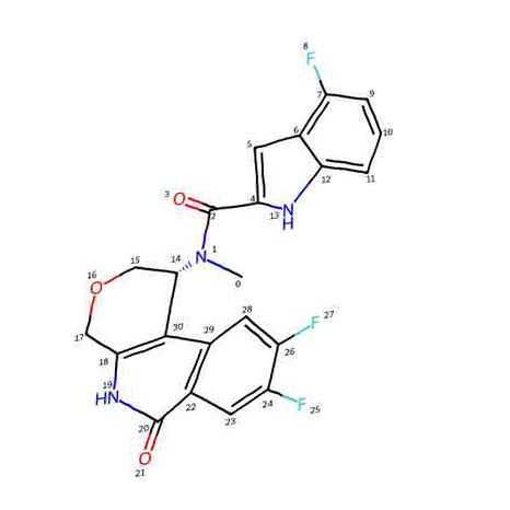 CN(C(=O)c1cc2c(F)cccc2[nH]1)[C@H]1COCc2[nH]c(=O)c3cc(F)c(F)cc3c21